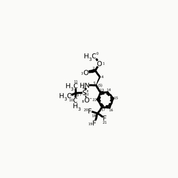 COC(=O)C[C@H](N[S@+]([O-])C(C)(C)C)c1cccc(C(F)(F)F)c1